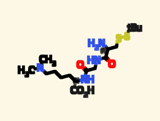 CN(C)CCCC[C@H](NC(=O)CNC(=O)[C@@H](N)CSSC(C)(C)C)C(=O)O